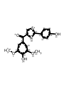 COc1cc(C(=O)c2csc(-c3ccc(O)cc3)n2)cc(OC)c1O